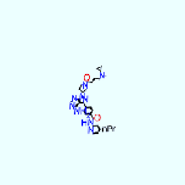 CCCc1ccnc(NC(=O)c2ccc(-c3nn(C4CCN(C(=O)C=CCN(C)C5CC5)C4)c4ncnc(N)c34)cc2)c1